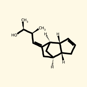 C[C@H](O)[C@@H](C)/C=C1/C[C@H]2C[C@@H]1[C@@H]1C=CC[C@H]21